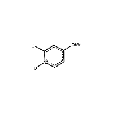 COc1cc[n+]([O-])c(Cl)c1